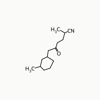 CC(C#N)CCC(=O)CC1CCCC(C)C1